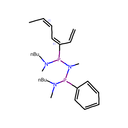 C=C/C(=C\C=C/C)P(N(C)CCCC)N(C)P(c1ccccc1)N(C)CCCC